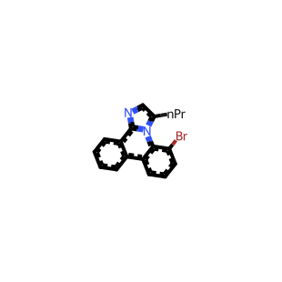 CCCc1cnc2c3ccccc3c3cccc(Br)c3n12